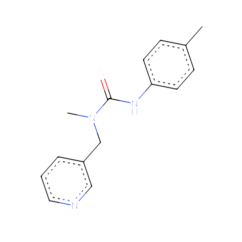 Cc1ccc(NC(=O)N(C)Cc2cccnc2)cc1